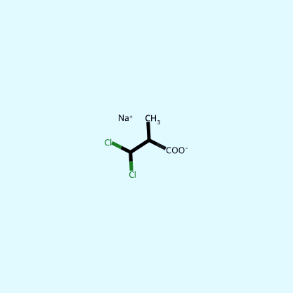 CC(C(=O)[O-])C(Cl)Cl.[Na+]